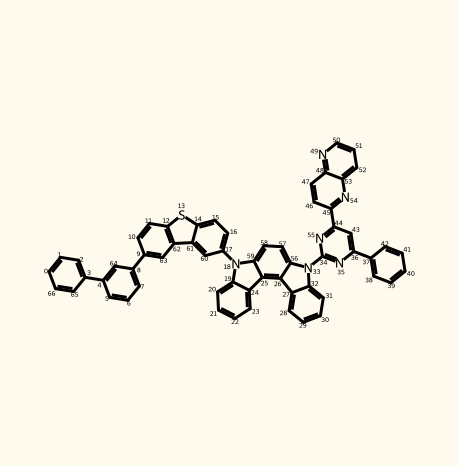 c1ccc(-c2cccc(-c3ccc4sc5ccc(-n6c7ccccc7c7c8c9ccccc9n(-c9nc(-c%10ccccc%10)cc(-c%10ccc%11ncccc%11n%10)n9)c8ccc76)cc5c4c3)c2)cc1